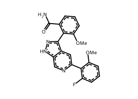 COc1cccc(F)c1-c1cc2c(-c3c(OC)cccc3C(N)=O)n[nH]c2cn1